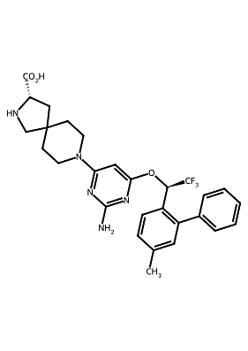 Cc1ccc([C@@H](Oc2cc(N3CCC4(CC3)CN[C@H](C(=O)O)C4)nc(N)n2)C(F)(F)F)c(-c2ccccc2)c1